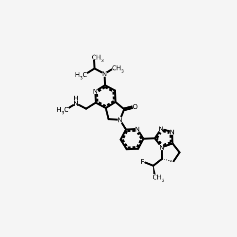 CNCc1nc(N(C)C(C)C)cc2c1CN(c1cccc(-c3nnc4n3[C@@H]([C@@H](C)F)CC4)n1)C2=O